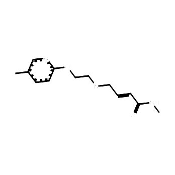 CNC(=O)/C=C/CNCCOc1ccc(C)cn1